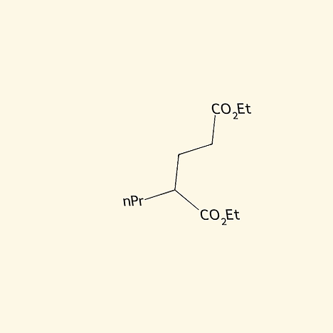 CCCC(CCC(=O)OCC)C(=O)OCC